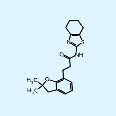 CC1(C)Cc2cccc(CCC(=O)Nc3nc4c(s3)CCCC4)c2O1